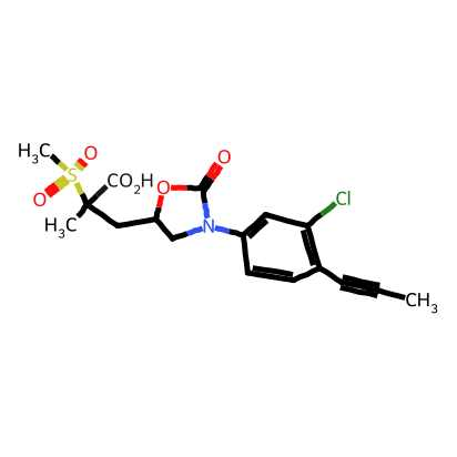 CC#Cc1ccc(N2CC(CC(C)(C(=O)O)S(C)(=O)=O)OC2=O)cc1Cl